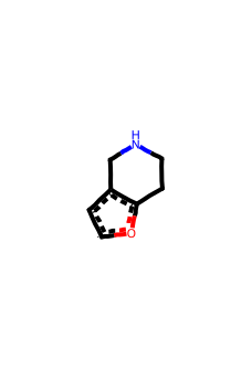 [c]1cc2c(o1)CCNC2